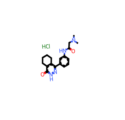 CN(C)CC(=O)Nc1cccc(-c2n[nH]c(=O)c3c2CCCC3)c1.Cl